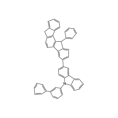 c1ccc(-c2cccc(-n3c4ccccc4c4cc(-c5ccc6c(c5)-c5ccc7c(c5C6c5ccccc5)-c5ccccc5C7)ccc43)c2)cc1